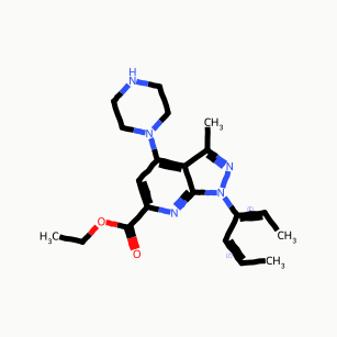 C/C=C\C(=C/C)n1nc(C)c2c(N3CCNCC3)cc(C(=O)OCC)nc21